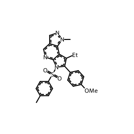 CCc1c(-c2ccc(OC)cc2)n(S(=O)(=O)c2ccc(C)cc2)c2ncc3cnn(C)c3c12